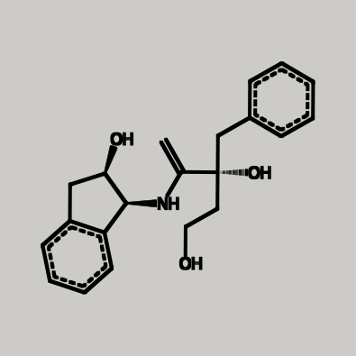 C=C(N[C@H]1c2ccccc2C[C@H]1O)[C@](O)(CCO)Cc1ccccc1